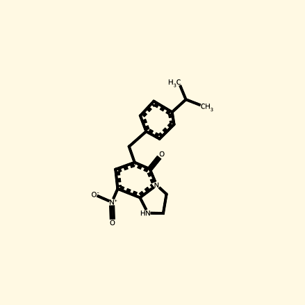 CC(C)c1ccc(Cc2cc([N+](=O)[O-])c3n(c2=O)CCN3)cc1